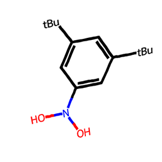 CC(C)(C)c1cc(N(O)O)cc(C(C)(C)C)c1